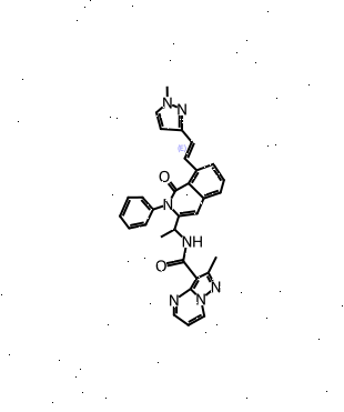 Cc1nn2cccnc2c1C(=O)NC(C)c1cc2cccc(/C=C/c3ccn(C)n3)c2c(=O)n1-c1ccccc1